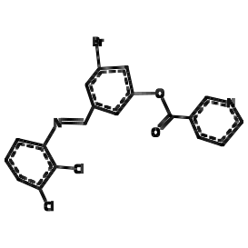 O=C(Oc1cc(Br)cc(C=Nc2cccc(Cl)c2Cl)c1)c1cccnc1